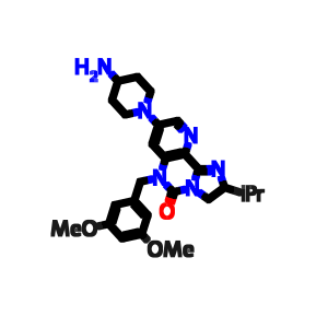 COc1cc(CN2C(=O)N3CC(C(C)C)N=C3c3ncc(N4CCC(N)CC4)cc32)cc(OC)c1